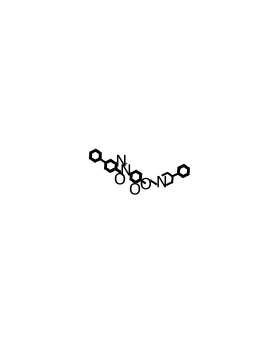 COc1cc(-n2cnc3cc(-c4ccccc4)ccc3c2=O)ccc1OCCN1CCC(c2ccccc2)CC1